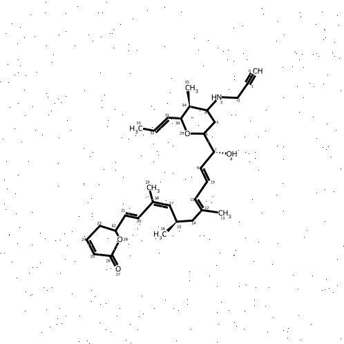 C#CCNC1CC([C@H](O)/C=C/C=C(\C)C[C@@H](C)/C=C(C)\C=C\C2CC=CC(=O)O2)OC(/C=C/C)[C@H]1C